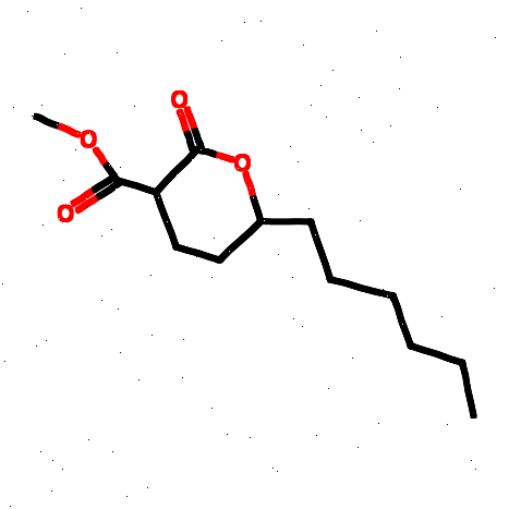 CCCCCCC1CCC(C(=O)OC)C(=O)O1